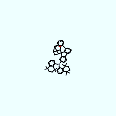 CC1(C)CCC(C)(C)c2c(N(c3ccc4c(c3)C3(c5c(-c6ccccc6)cccc5-4)C4CC5CC6CC3C64C5)c3cccc4c3C(C)(C)CCC4(C)C)cccc21